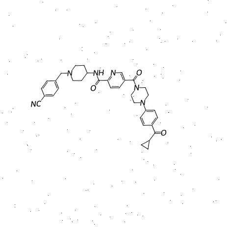 N#Cc1ccc(CN2CCC(NC(=O)c3ccc(C(=O)N4CCN(c5ccc(C(=O)C6CC6)cc5)CC4)cn3)CC2)cc1